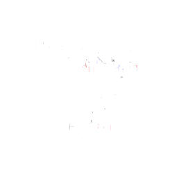 C=C(O)CCCSCCN1C(=O)CC[C@@H]1/C=C/[C@@H](O)CCCCC